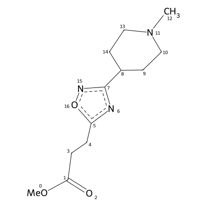 COC(=O)CCc1nc(C2CCN(C)CC2)no1